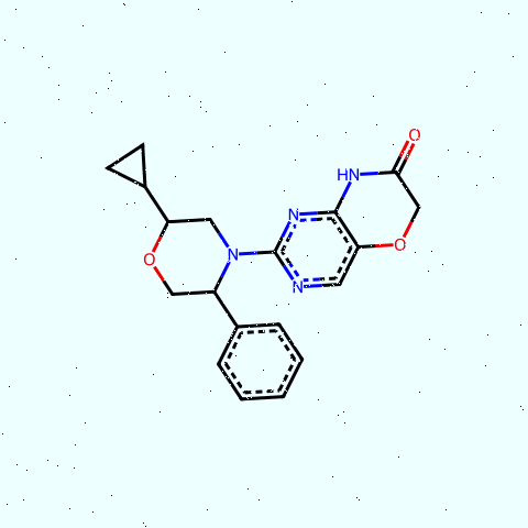 O=C1COc2cnc(N3CC(C4CC4)OCC3c3ccccc3)nc2N1